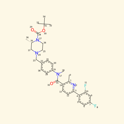 Cc1nc(-c2ccc(F)cc2F)ccc1C(=O)N(C)c1ccc(CN2CCN(C(=O)OC(C)(C)C)[C@@H](C)C2)cc1